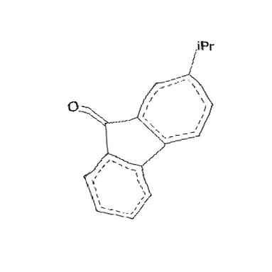 CC(C)c1ccc2c(c1)C(=O)c1ccccc1-2